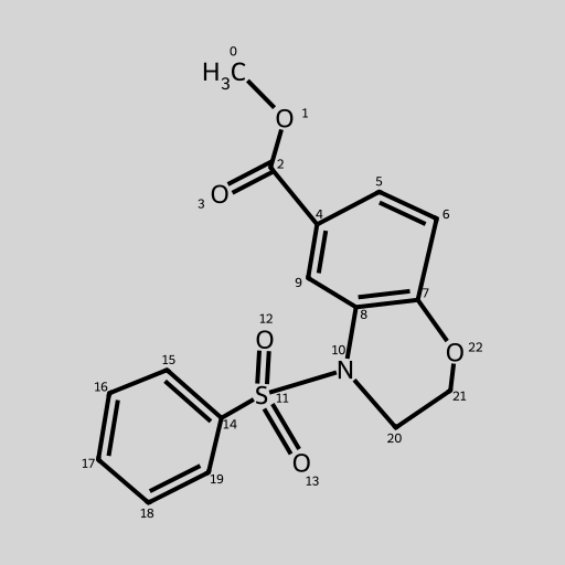 COC(=O)c1ccc2c(c1)N(S(=O)(=O)c1ccccc1)CCO2